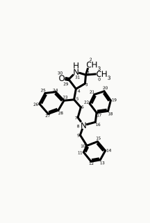 CC1(C)CC(C(CCN(Cc2ccccc2)Cc2ccccc2)c2ccccc2)C(=O)N1